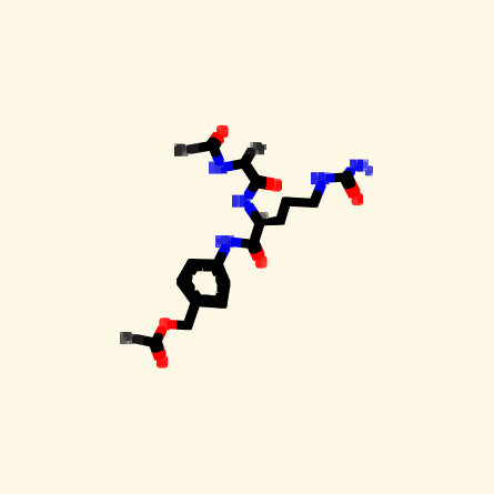 CC(C)C(=O)NC(C(=O)N[C@@H](CCCNC(N)=O)C(=O)Nc1ccc(COC(=O)C(C)C)cc1)C(C)C